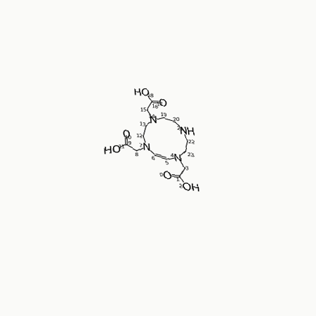 O=C(O)CN1C=CN(CC(=O)O)CCN(CC(=O)O)CCNCC1